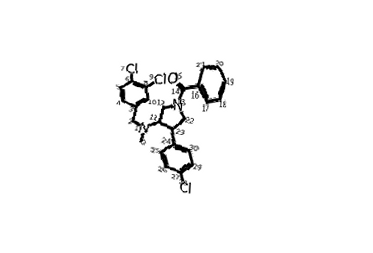 CN(Cc1ccc(Cl)c(Cl)c1)C1CN(C(=O)c2ccccc2)CC1c1ccc(Cl)cc1